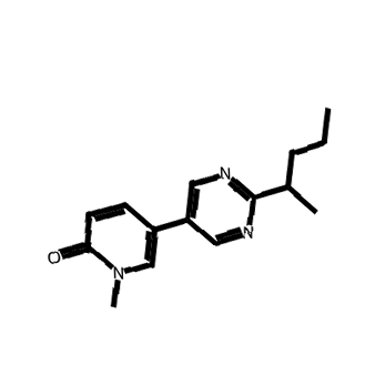 CCCC(C)c1ncc(-c2ccc(=O)n(C)c2)cn1